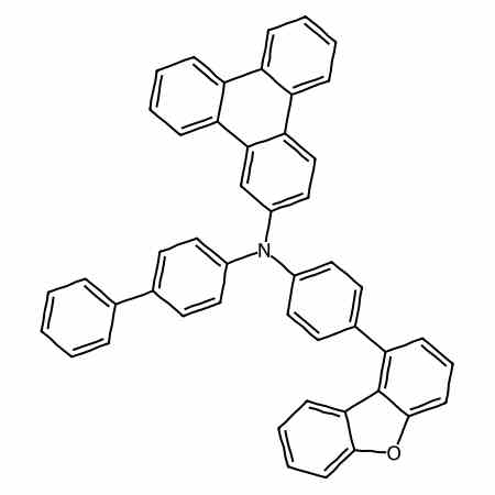 c1ccc(-c2ccc(N(c3ccc(-c4cccc5oc6ccccc6c45)cc3)c3ccc4c5ccccc5c5ccccc5c4c3)cc2)cc1